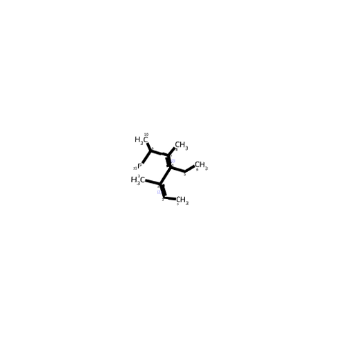 C/C=C(C)\C(CC)=C(\C)C(C)F